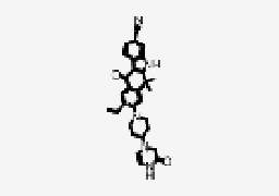 CCc1cc2c(cc1N1CCC(N3C=CNC(=O)C3)CC1)C(C)(C)c1[nH]c3cc(C#N)ccc3c1C2=O